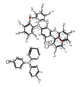 Clc1ccc([S+](c2ccccc2)c2ccc(Cl)cc2)cc1.O=C([O-])c1cc(Oc2c(F)c(F)c(F)c(F)c2F)c(Oc2c(F)c(F)c(F)c(F)c2F)c(Oc2c(F)c(F)c(F)c(F)c2F)c1-c1c(F)c(F)c(F)c(F)c1F